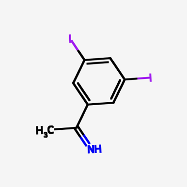 CC(=N)c1cc(I)cc(I)c1